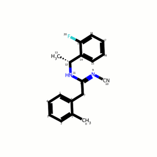 Cc1ccccc1C/C(=N\C#N)N[C@H](C)c1ccccc1F